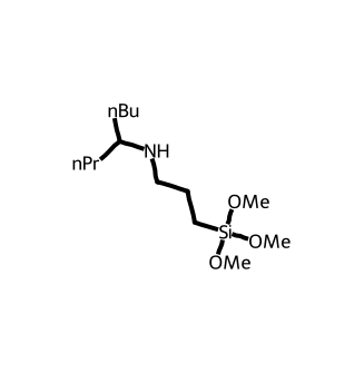 CCCCC(CCC)NCCC[Si](OC)(OC)OC